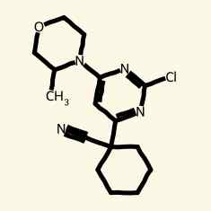 CC1COCCN1c1cc(C2(C#N)CCCCC2)nc(Cl)n1